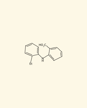 CCc1ccccc1Nc1ccccc1C(=O)O